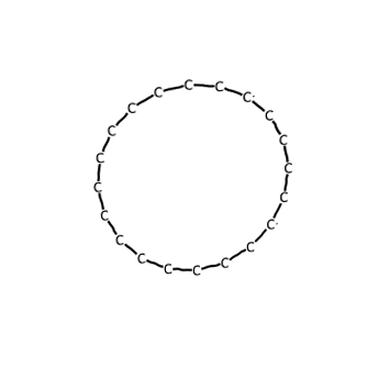 [CH]1CCCC[CH]CCCCCCCCCCCCCC1